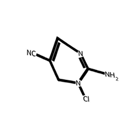 N#CC1=CN=C(N)N(Cl)C1